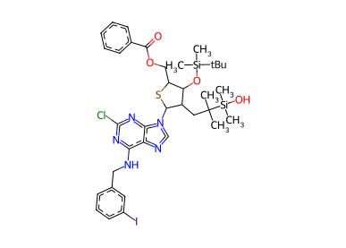 CC(C)(CC1C(O[Si](C)(C)C(C)(C)C)C(COC(=O)c2ccccc2)SC1n1cnc2c(NCc3cccc(I)c3)nc(Cl)nc21)[Si](C)(C)O